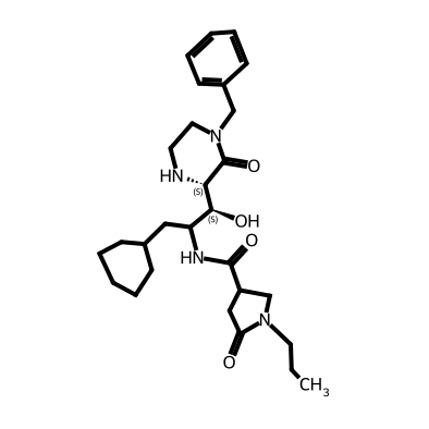 CCCN1CC(C(=O)NC(CC2CCCCC2)[C@H](O)[C@@H]2NCCN(Cc3ccccc3)C2=O)CC1=O